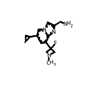 CN1CC(F)(c2cc(C3CC3)cn3cc(CN)nc23)C1